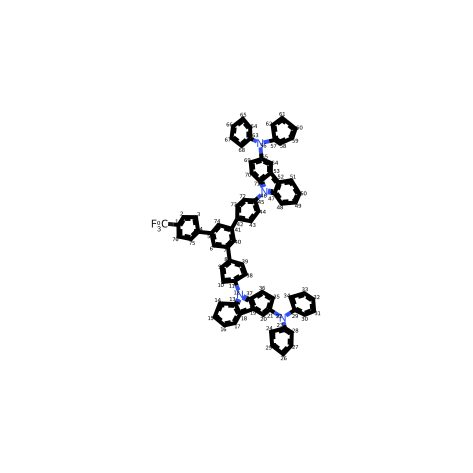 FC(F)(F)c1ccc(-c2cc(-c3ccc(-n4c5ccccc5c5cc(N(c6ccccc6)c6ccccc6)ccc54)cc3)cc(-c3ccc(-n4c5ccccc5c5cc(N(c6ccccc6)c6ccccc6)ccc54)cc3)c2)cc1